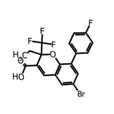 CCC1(C(F)(F)F)Oc2c(cc(Br)cc2-c2ccc(F)cc2)C=C1C(=O)O